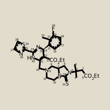 CCOC(=O)CC(C)(C)N1CC2CN(CC3=C(C(=O)OCC)[C@H](c4cccc(F)c4C)N=C(c4nccs4)N3)CCN2C1=S